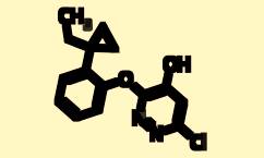 CCC1(c2ccccc2Oc2nnc(Cl)cc2O)CC1